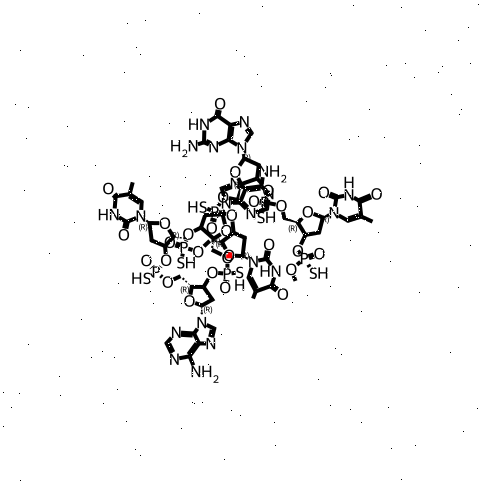 COP(=O)(S)OC1C[C@H](n2cc(C)c(=O)[nH]c2=O)O[C@@H]1COP(=O)(S)OC1C[C@H](n2cnc3c(=O)[nH]c(N)nc32)O[C@@H]1COP(=O)(S)OC1C[C@H](n2cc(C)c(=O)[nH]c2=O)O[C@@H]1COP(=O)(S)OC1C[C@H](n2cnc3c(N)ncnc32)O[C@@H]1COP(=O)(S)OC1C[C@H](n2cnc3c(N)ncnc32)O[C@@H]1COP(=O)(S)OC1C[C@H](n2cc(C)c(=O)[nH]c2=O)O[C@@H]1C